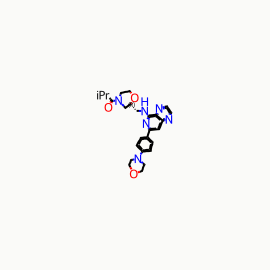 CC(C)C(=O)N1CCO[C@H](CNc2nc(-c3ccc(N4CCOCC4)cc3)cc3nccnc23)C1